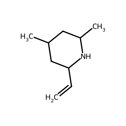 C=CC1CC(C)CC(C)N1